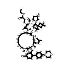 CCOC(=O)CC[C@H](NC(=O)[C@@H]1C[C@@H](F)CN1C(=O)C1(C(F)(F)F)CC(F)(F)C1)C(=O)N(C)[C@H]1CCCCCCCN(C)C(=O)[C@H](Cc2cc(Cl)ccc2-c2ccc(N3CCOCC3)cc2)N(C)C(=O)[C@H](CC(C)C)NC1=O